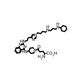 N[C@@H](CCC(=O)N1CCC(Nc2nc(NCCc3cn(CCCCNCCCNC4CCCCC4)cn3)nc3ccccc23)CC1)C(=O)O